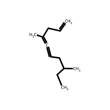 C=CCC(C)=C=CCC(C)CC